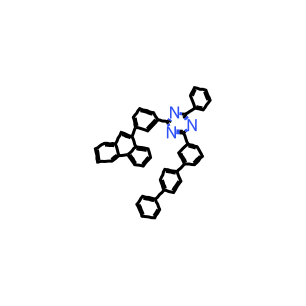 c1ccc(-c2ccc(-c3cccc(-c4nc(-c5ccccc5)nc(-c5cccc(-c6cc7ccccc7c7ccccc67)c5)n4)c3)cc2)cc1